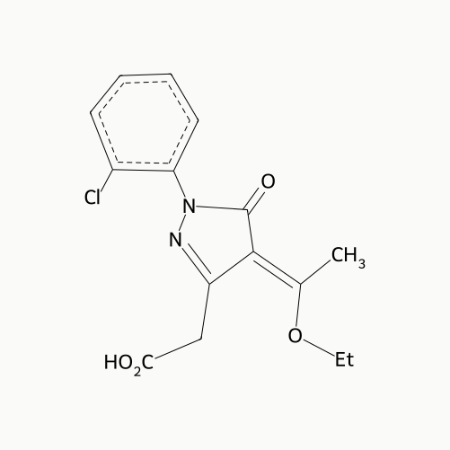 CCO/C(C)=C1/C(=O)N(c2ccccc2Cl)N=C1CC(=O)O